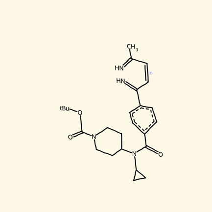 CC(=N)/C=C\C(=N)c1ccc(C(=O)N(C2CC2)C2CCN(C(=O)OC(C)(C)C)CC2)cc1